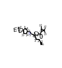 C#CCCC(/C=C/c1ccc(OCC)cc1)OC(=O)C1C(C)C1(C)C